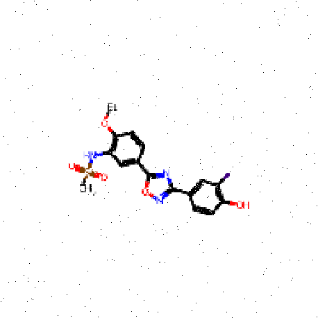 CCOc1ccc(-c2nc(-c3ccc(O)c(I)c3)no2)cc1NS(C)(=O)=O